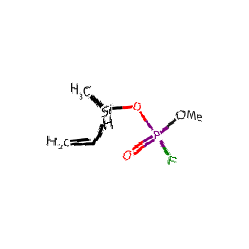 C=C[SiH](C)OP(=O)(F)OC